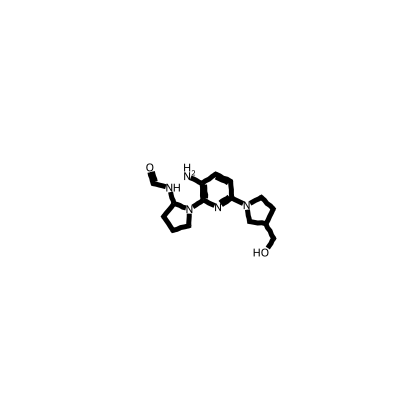 Nc1ccc(N2CCC(CO)C2)nc1N1CCCC1NC=O